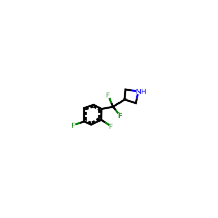 Fc1ccc(C(F)(F)C2CNC2)c(F)c1